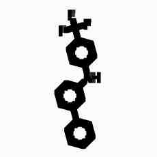 FC(F)(F)c1ccc(Nc2cccc(-c3ccccc3)c2)cc1